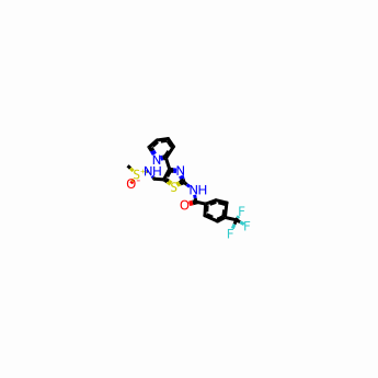 C[S+]([O-])NCc1sc(NC(=O)c2ccc(C(F)(F)F)cc2)nc1-c1ccccn1